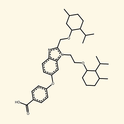 CC1CCC(C(C)C)C(OCc2nc3ccc(Oc4ccc(C(=O)O)cc4)cc3n2CCOC2CCCC(C)C2C(C)C)C1